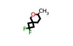 C[C@H]1CCC2(CO1)CC(F)(F)C2